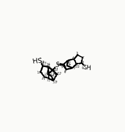 SC1CCC2C3CC(CC3SC34CC5CC3C43C(S)CCC53)C12